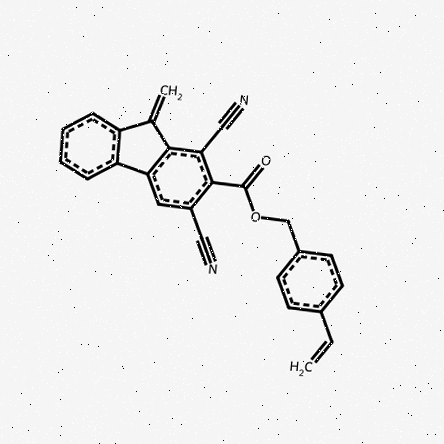 C=Cc1ccc(COC(=O)c2c(C#N)cc3c(c2C#N)C(=C)c2ccccc2-3)cc1